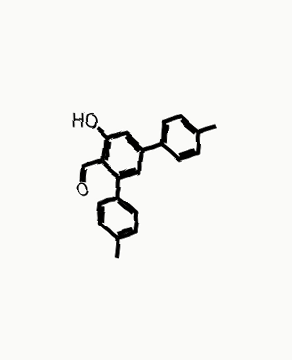 Cc1ccc(-c2cc(O)c(C=O)c(-c3ccc(C)cc3)c2)cc1